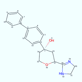 O[C@@]1(c2ccc(-c3ccccc3)cc2)CCOC(C2=NCCN2)C1